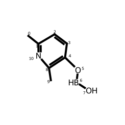 Cc1ccc(OBO)c(C)n1